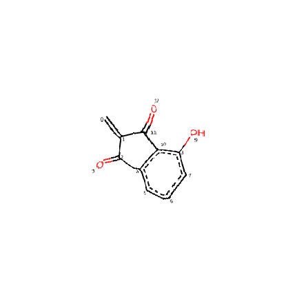 C=C1C(=O)c2cccc(O)c2C1=O